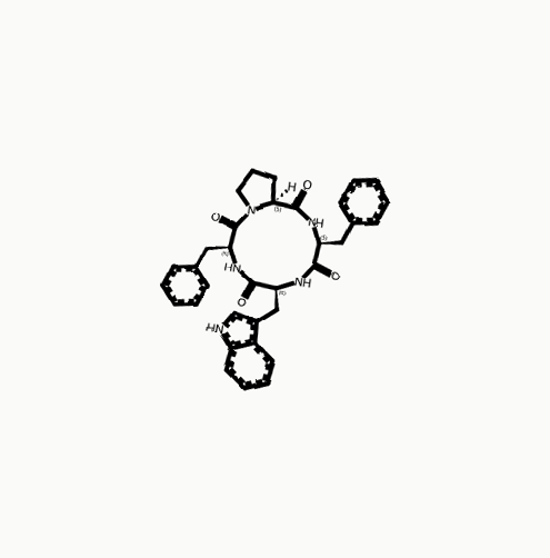 O=C1N[C@@H](Cc2ccccc2)C(=O)N2CCC[C@H]2C(=O)N[C@@H](Cc2ccccc2)C(=O)N[C@H]1Cc1c[nH]c2ccccc12